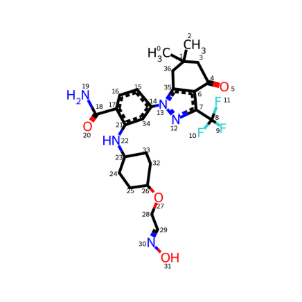 CC1(C)CC(=O)c2c(C(F)(F)F)nn(-c3ccc(C(N)=O)c(NC4CCC(OCC=NO)CC4)c3)c2C1